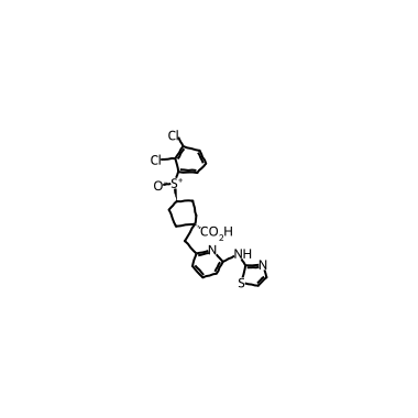 O=C(O)[C@]1(Cc2cccc(Nc3nccs3)n2)CC[C@@H]([S+]([O-])c2cccc(Cl)c2Cl)CC1